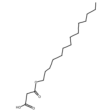 CCCCCCCCCCCCCCOC(=O)CC(=O)O